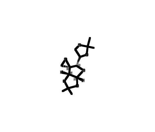 CC1(C)OCC([C@@H]2O[C@@H]3OC(C)(C)O[C@@H]3[C@]23CO3)O1